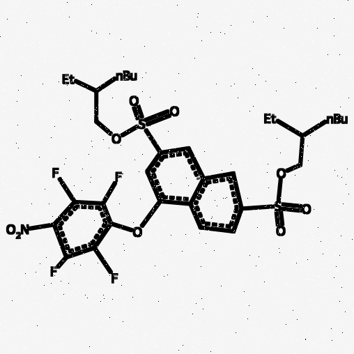 CCCCC(CC)COS(=O)(=O)c1ccc2c(Oc3c(F)c(F)c([N+](=O)[O-])c(F)c3F)cc(S(=O)(=O)OCC(CC)CCCC)cc2c1